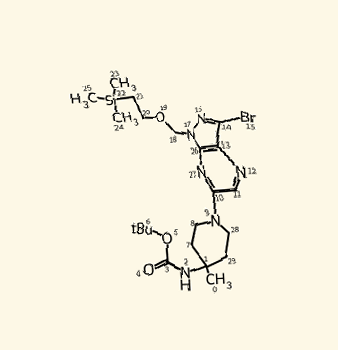 CC1(NC(=O)OC(C)(C)C)CCN(c2cnc3c(Br)nn(COCC[Si](C)(C)C)c3n2)CC1